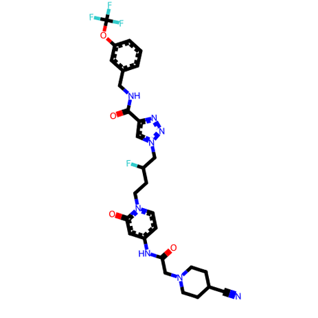 N#CC1CCN(CC(=O)Nc2ccn(CCC(F)Cn3cc(C(=O)NCc4cccc(OC(F)(F)F)c4)nn3)c(=O)c2)CC1